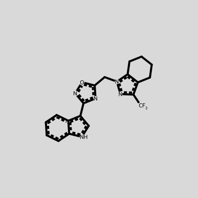 FC(F)(F)c1nn(Cc2nc(-c3c[nH]c4ccccc34)no2)c2c1CCCC2